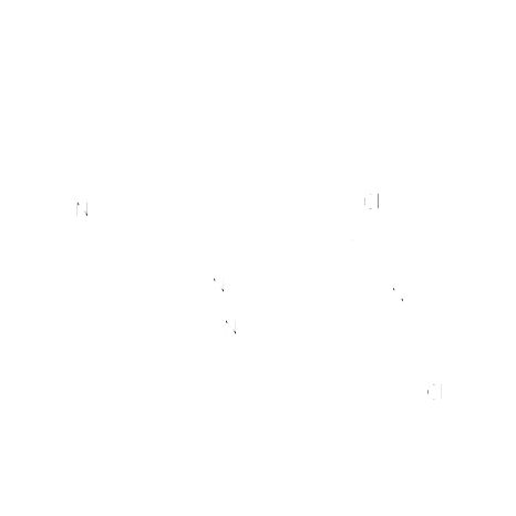 Clc1cc2nn(Cc3ccccn3)cc2c(Cl)n1